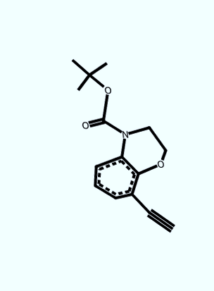 C#Cc1cccc2c1OCCN2C(=O)OC(C)(C)C